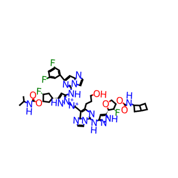 CC(C)NC(=O)O[C@H]1C[C@@H](c2cc(Nc3nc(-c4cc(F)cc(F)c4)cc4nccn34)[n+]([N+]#Cc3c(CCCO)nc(Nc4cc([C@@H]5OC[C@H](OC(=O)NC6CC7CCC76)[C@@H]5F)[nH]n4)n4ccnc34)[nH]2)C[C@H]1F